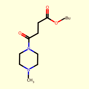 CCC(C)OC(=O)CCC(=O)N1CCN(C)CC1